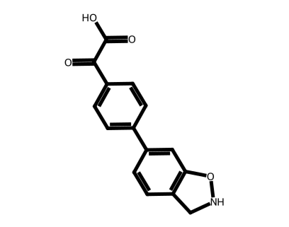 O=C(O)C(=O)c1ccc(-c2ccc3c(c2)ONC3)cc1